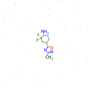 Cc1noc(C2CCC(N)C(F)(F)C2)n1